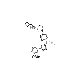 COc1cncc(-c2cn(C(C)c3ccc(N4CCC[C@@H](NCC5CCC5)C4)nn3)nn2)c1